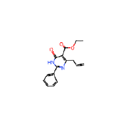 C=CCc1nc(-c2ccccc2)[nH]c(=O)c1C(=O)OCC